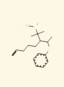 C=CCCCC(C(C)Oc1ccccc1)C(C)(C)[S+](N)[O-]